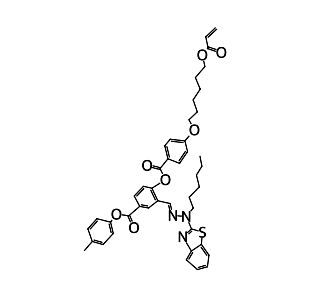 C=CC(=O)OCCCCCCOc1ccc(C(=O)Oc2ccc(C(=O)Oc3ccc(C)cc3)cc2/C=N/N(CCCCCC)c2nc3ccccc3s2)cc1